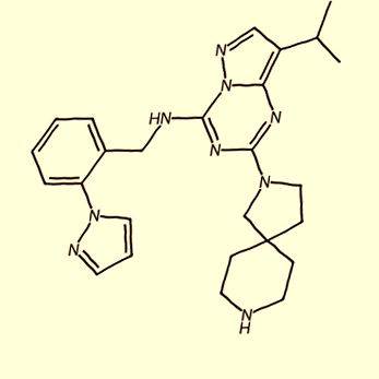 CC(C)c1cnn2c(NCc3ccccc3-n3cccn3)nc(N3CCC4(CCNCC4)C3)nc12